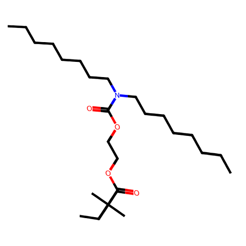 CCCCCCCCN(CCCCCCCC)C(=O)OCCOC(=O)C(C)(C)CC